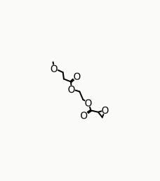 COCCC(=O)OCCOC(=O)C1CO1